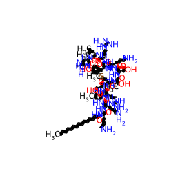 CCCCCCCCCCCCCCCC(=O)N[C@@H](CCCCN)C(=O)N[C@H](CCCCN)C(=O)N[C@@H](CC(C)C)C(=O)N[C@@H](CCCNC(=N)N)C(=O)N[C@@H](CO)C(=O)N[C@@H](CCSC)C(=O)N[C@H](C(=O)N[C@@H](CC(=O)O)C(=O)N[C@@H](CCCCN)C(=O)N[C@@H](Cc1ccc(O)cc1)C(=O)N[C@@H](CCCNC(=N)N)C(=O)N[C@@H](CC(C)C)C(=O)N[C@@H](Cc1c[nH]cn1)C(N)=O)[C@@H](C)O